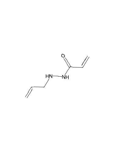 C=CCNNC(=O)C=C